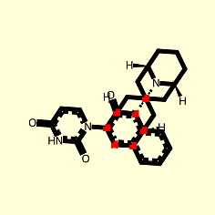 O=c1ccn(-c2nc3ccccc3n([C@H]3C[C@H]4CCC[C@@H](C3)N4[C@H]3C[C@@H]4CCC[C@@H](C4)C3)c2=O)c(=O)[nH]1